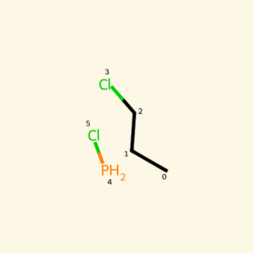 CCCCl.PCl